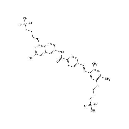 Cc1cc(N)c(OCCCS(=O)(=O)O)cc1N=Nc1ccc(C(=O)Nc2ccc3c(OCCCS(=O)(=O)O)cc(S)cc3c2)cc1